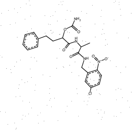 CC(NC(=O)C(CCc1ccccc1)OC(N)=O)C(=O)NCc1cc(Cl)ccc1[N+](=O)[O-]